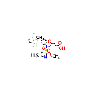 CCOc1ncc(C)cc1S(=O)(=O)N1C[C@H](CCC(=O)O)Oc2ccc(/C=C(\C)c3c(F)cccc3Cl)cc21